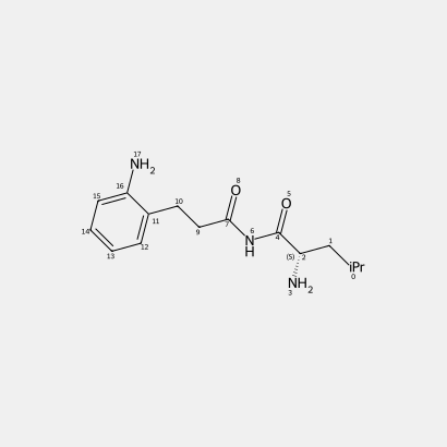 CC(C)C[C@H](N)C(=O)NC(=O)CCc1ccccc1N